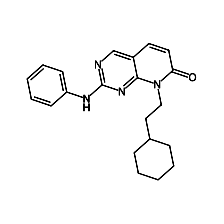 O=c1ccc2cnc(Nc3ccccc3)nc2n1CCC1CCCCC1